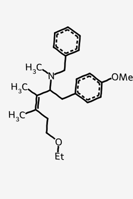 CCOCCC(C)=C(C)C(Cc1ccc(OC)cc1)N(C)Cc1ccccc1